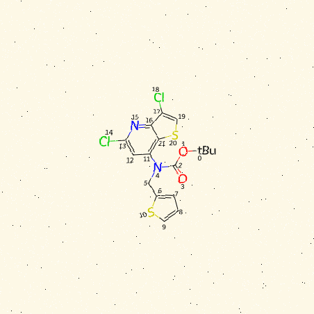 CC(C)(C)OC(=O)N(Cc1cccs1)c1cc(Cl)nc2c(Cl)csc12